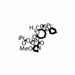 CCCO[C@H]1[C@H](C)OC(=O)[C@@H](NC(=O)c2nccc(OC)c2OCOC(=O)C(C)C)CCC[C@@H]1Oc1ccccc1